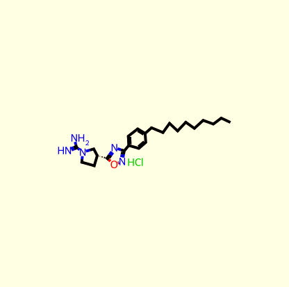 CCCCCCCCCCc1ccc(-c2noc([C@@H]3CCN(C(=N)N)C3)n2)cc1.Cl